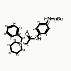 CCCCNc1ccc(NC(=O)C[N+]2(Cc3ccccc3)CCCCC2)cc1